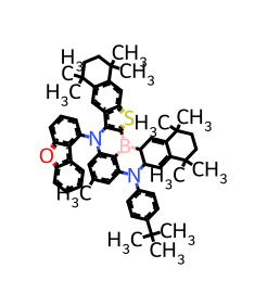 Cc1cc2c3c(c1)N(c1ccc(C(C)(C)C)cc1)C1C=C4C(=CC1B3c1sc3cc5c(cc3c1N2c1cccc2oc3ccccc3c12)C(C)(C)CCC5(C)C)C(C)(C)CCC4(C)C